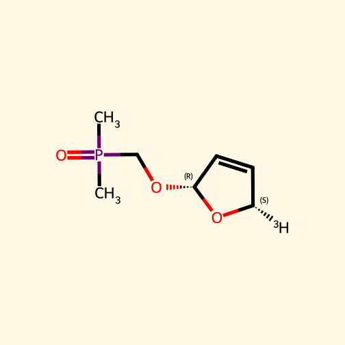 [3H][C@H]1C=C[C@@H](OCP(C)(C)=O)O1